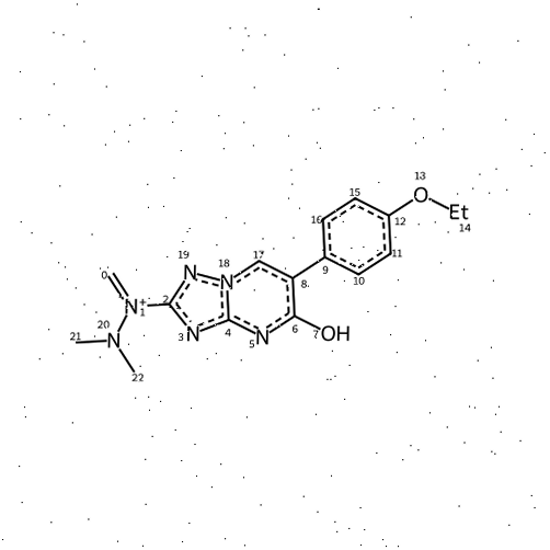 C=[N+](c1nc2nc(O)c(-c3ccc(OCC)cc3)cn2n1)N(C)C